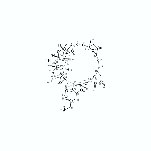 C=C1C[C@@H]2CC[C@@]34C[C@H]5O[C@H]6[C@@H](O3)[C@H]3O[C@H](CC[C@@H]3O[C@H]6[C@H]5O4)CC(=O)C[C@H]3[C@H](CC4OC(CCC1O2)C[C@@H](C)C4=C)OC(C[C@H](O)CN)[C@@H]3OC